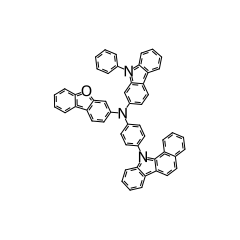 c1ccc(-n2c3ccccc3c3ccc(N(c4ccc(-n5c6ccccc6c6ccc7ccccc7c65)cc4)c4ccc5c(c4)oc4ccccc45)cc32)cc1